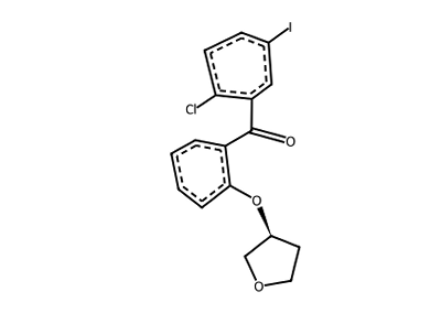 O=C(c1cc(I)ccc1Cl)c1ccccc1O[C@H]1CCOC1